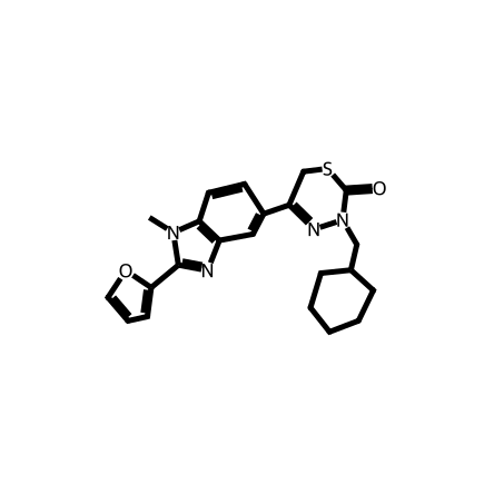 Cn1c(-c2ccco2)nc2cc(C3=NN(CC4CCCCC4)C(=O)SC3)ccc21